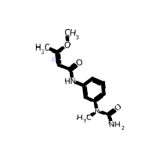 CO/C(C)=C\C(=O)Nc1cccc(N(C)C(N)=O)c1